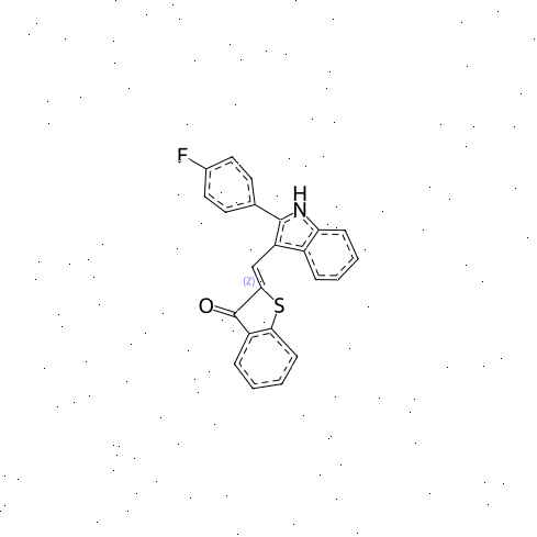 O=C1/C(=C/c2c(-c3ccc(F)cc3)[nH]c3ccccc23)Sc2ccccc21